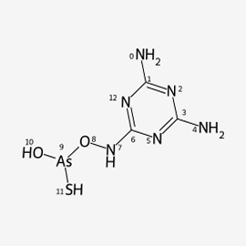 Nc1nc(N)nc(NO[As](O)S)n1